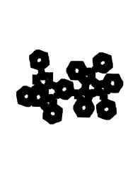 c1ccc(-c2nc(-c3ccccc3)nc(-c3ccc(-n4c5ccccc5c5c6c(c7ccccc7n6-c6ccccc6)c6c(c7ccccc7n6-c6ccccc6)c54)cc3-n3c4ccccc4c4ccccc43)n2)cc1